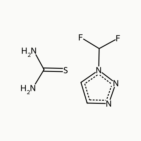 FC(F)n1ccnn1.NC(N)=S